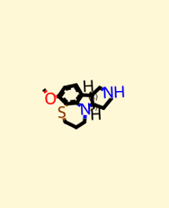 COc1ccc2c3c1SCCCN3[C@H]1CCNC[C@@H]21